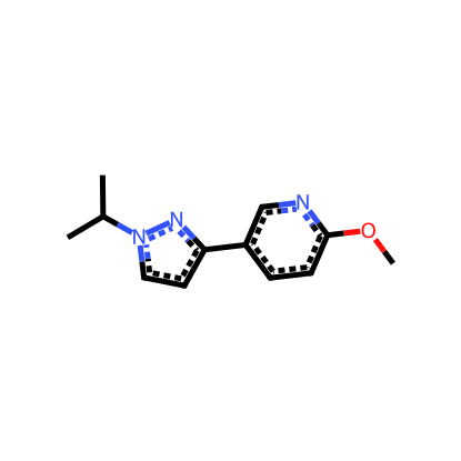 COc1ccc(-c2ccn(C(C)C)n2)cn1